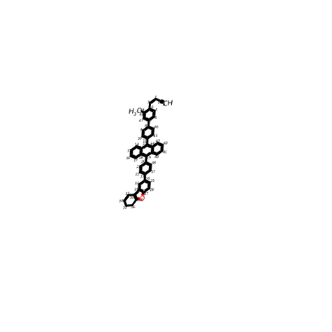 C#C/C=C\c1ccc(-c2ccc(-c3c4ccccc4c(-c4ccc(-c5ccc6oc7c(c6c5)C=CCC7)cc4)c4ccccc34)cc2)cc1C